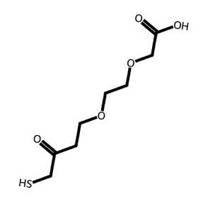 O=C(O)COCCOCCC(=O)CS